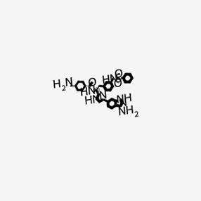 NC[C@H]1CC[C@H](C(=O)N[C@@H](Cc2cccc(NS(=O)(=O)c3ccccc3)c2)c2nc(-c3ccc4c(N)n[nH]c4c3)c[nH]2)CC1